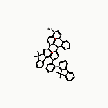 CC(C)(C)c1ccc(-c2ccccc2N(c2ccc(-c3ccccc3-c3cccc4c3C(C)(C)c3ccccc3-4)cc2)c2ccccc2-c2ccc3c(c2)C(C)(C)c2ccccc2-3)cc1